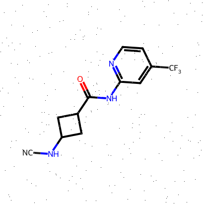 N#CNC1CC(C(=O)Nc2cc(C(F)(F)F)ccn2)C1